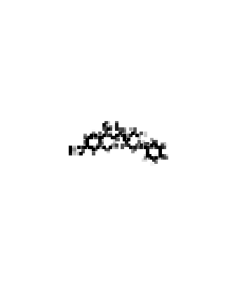 Oc1ccc2c(c1)CCC(CN1CCN(c3ccccc3)CC1)C2O